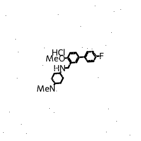 CNC1CCC(NCc2cc(-c3ccc(F)cc3)ccc2OC)CC1.Cl